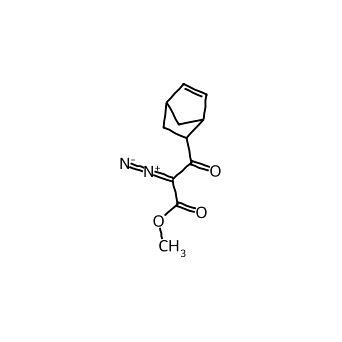 COC(=O)C(=[N+]=[N-])C(=O)C1CC2C=CC1C2